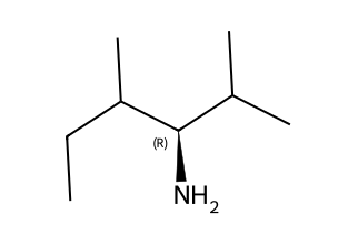 CCC(C)[C@H](N)C(C)C